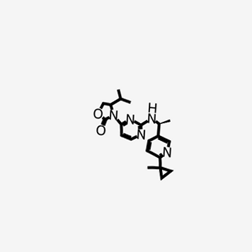 CC(C)C1COC(=O)N1c1ccnc(N[C@@H](C)c2ccc(C3(C)CC3)nc2)n1